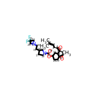 CC(C)=CC[C@H]1O[C@]1(C)C1CC(OC(=O)N2CCC(CCN3CC(F)(F)C3)C2)CCC12CO2